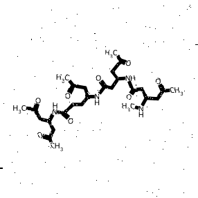 CNC(CC(C)=O)CC(=O)NC(CC(C)=O)CC(=O)NC(CCC(=O)NC(CC(C)=O)CC(C)=O)CC(C)=O